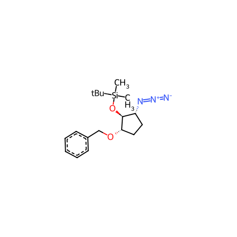 CC(C)(C)[Si](C)(C)O[C@@H]1[C@@H](OCc2ccccc2)CC[C@H]1N=[N+]=[N-]